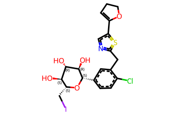 O[C@@H]1[C@@H](O)[C@H](c2ccc(Cl)c(Cc3ncc(C4=CCCO4)s3)c2)O[C@H](CI)[C@H]1O